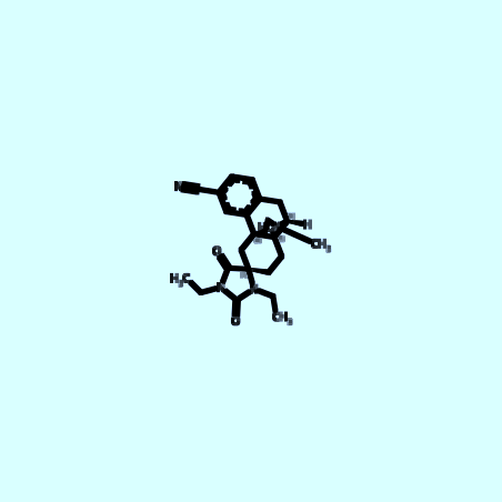 CCN1C(=O)N(CC)[C@]2(CC[C@@]3(O)[C@H]4Cc5ccc(C#N)cc5[C@@]3(CCN4C)C2)C1=O